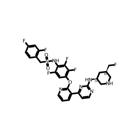 O=S(=O)(Cc1ccc(F)cc1F)Nc1c(F)cc(Oc2ncccc2-c2ccnc(N[C@@H]3CNC[C@H](CF)C3)n2)c(F)c1F